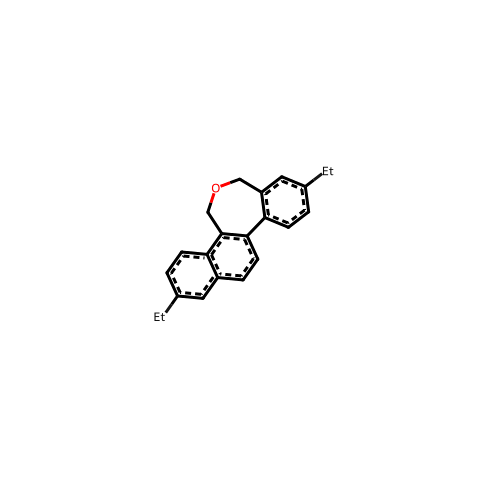 CCc1ccc2c(c1)COCc1c-2ccc2cc(CC)ccc12